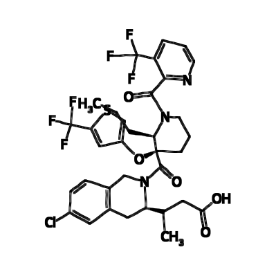 CCC[C@H]1N(C(=O)c2ncccc2C(F)(F)F)CCC[C@]1(Oc1csc(C(F)(F)F)c1)C(=O)N1Cc2ccc(Cl)cc2C[C@@H]1C(C)CC(=O)O